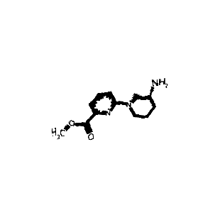 COC(=O)c1cccc(N2CCC[C@H](N)C2)n1